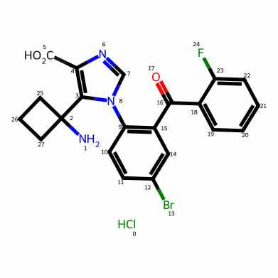 Cl.NC1(c2c(C(=O)O)ncn2-c2ccc(Br)cc2C(=O)c2ccccc2F)CCC1